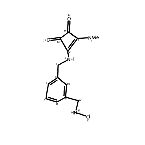 CNc1c(NCc2cccc(CNCl)c2)c(=O)c1=O